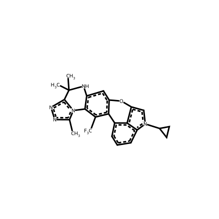 Cc1nnc2n1-c1c(cc3c(c1C(F)(F)F)-c1cccc4c1c(cn4C1CC1)O3)NC2(C)C